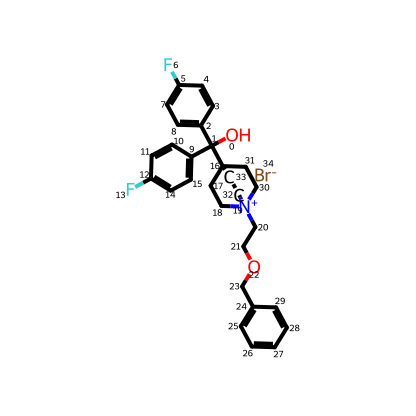 OC(c1ccc(F)cc1)(c1ccc(F)cc1)C12CC[N+](CCOCc3ccccc3)(CC1)CC2.[Br-]